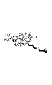 C[SiH](O[Si](C)(C)O[Si](C)(C)C)O[Si](C)(CCCOCC1CO1)O[Si](C)(C)C